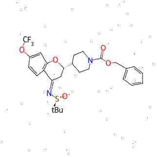 CC(C)(C)[S@+]([O-])/N=C1\C[C@@H](C2CCN(C(=O)OCc3ccccc3)CC2)Oc2cc(OC(F)(F)F)ccc21